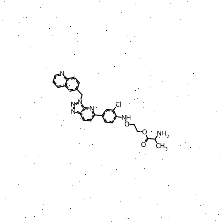 CC(N)C(=O)OCCONc1ccc(-c2ccc3nnn(Cc4ccc5ncccc5c4)c3n2)cc1Cl